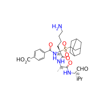 CC(C)[C@@H](C=O)NC(=O)[C@H](C)NC(=O)[C@](CCCCN)(NC(=O)c1ccc(C(=O)O)cc1)S(=O)(=O)C12CC3CC(CC(C3)C1)C2